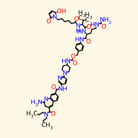 CCCN(CCC)C(=O)C1=Cc2ccc(C(=O)Nc3ccc(N4CCC(NC(=O)OCc5ccc(NC(=O)C(CCCNC(N)=O)NC(=O)C(NC(=O)CCCCCN6C(=O)C=CC6O)C(C)C)cc5)CC4)nc3)cc2N=C(N)C1